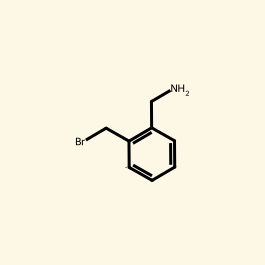 NCc1ccc[c]c1CBr